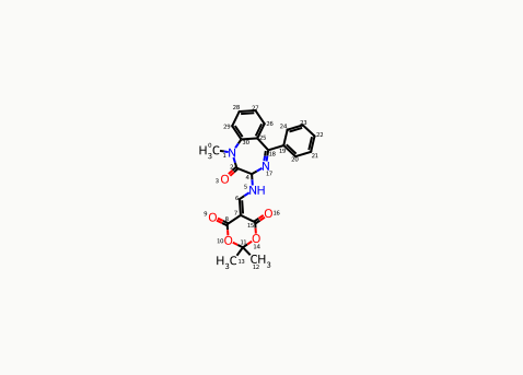 CN1C(=O)C(NC=C2C(=O)OC(C)(C)OC2=O)N=C(c2ccccc2)c2ccccc21